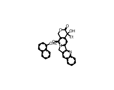 CC(=O)Oc1cccc2ccccc12.CCC1(O)C(=O)OCc2c1cc1n(c2=O)Cc2cc3ccccc3nc2-1